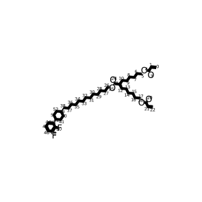 C=CC(=O)OCCCCCCC(CCCCCCOC(=O)C=C)C(=O)OCCCCCCCCCCCCC[C@H]1CC[C@H](c2cccc(F)c2F)CC1